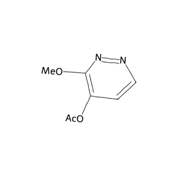 COc1nnccc1OC(C)=O